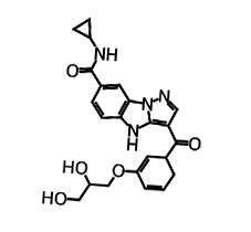 O=C(NC1CC1)c1ccc2[nH]c3c(C(=O)C4C=C(OCC(O)CO)C=CC4)cnn3c2c1